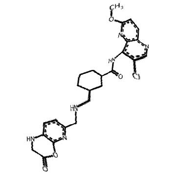 COc1ccc2ncc(Cl)c(NC(=O)C3CCCC(CNCc4ccc5c(n4)OC(=O)CN5)C3)c2n1